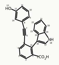 O=C(O)c1cccc(C#Cc2cccc(O)c2)c1-c1c[nH]c2ccccc12